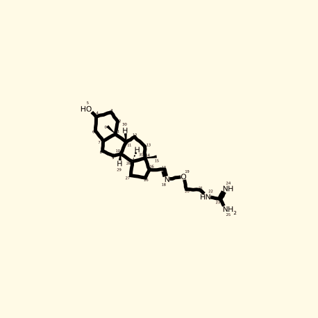 C[C@]12CCC(O)CC1CC[C@@H]1[C@H]2CC[C@]2(C)C(/C=N/OCCNC(=N)N)CC[C@@H]12